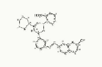 O=C(O)c1ccccc1CCC(NC(=O)C1CCCCC1)c1cccc(/C=C/c2ccc3ccc(Cl)cc3n2)c1